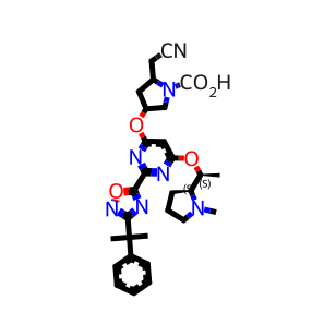 C[C@H](Oc1cc(OC2CC(CC#N)N(C(=O)O)C2)nc(-c2nc(C(C)(C)c3ccccc3)no2)n1)[C@@H]1CCCN1C